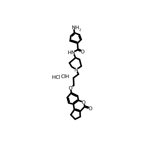 Cl.Cl.Nc1ccc(C(=O)NC2CCN(CCCOc3ccc4c5c(c(=O)oc4c3)CCC5)CC2)cc1